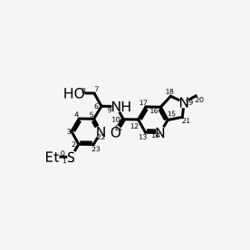 CCSc1ccc(C(CO)NC(=O)c2cnc3c(c2)CN(C)C3)nc1